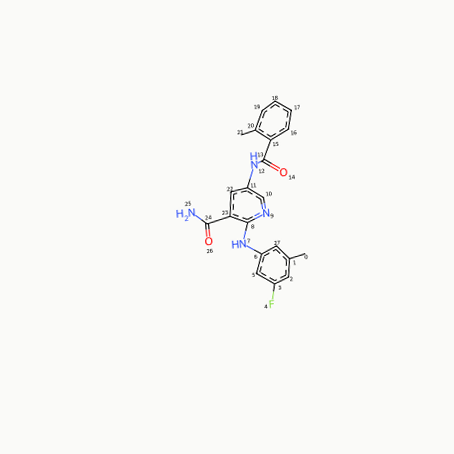 Cc1cc(F)cc(Nc2ncc(NC(=O)c3ccccc3C)cc2C(N)=O)c1